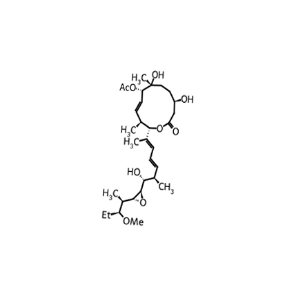 CC[C@H](OC)[C@@H](C)[C@H]1O[C@@H]1[C@H](O)[C@H](C)/C=C/C=C(\C)[C@H]1OC(=O)C[C@H](O)CC[C@@](C)(O)[C@@H](OC(C)=O)/C=C/[C@@H]1C